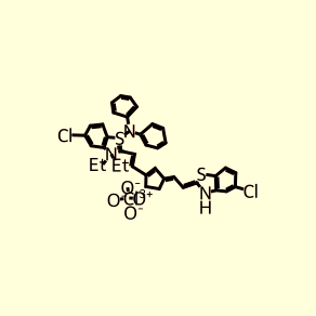 CC[N+]1(CC)C(C=CC2=CC(=CC=C3Nc4cc(Cl)ccc4S3)CC2)=S(N(c2ccccc2)c2ccccc2)c2ccc(Cl)cc21.[O-][Cl+3]([O-])([O-])[O-]